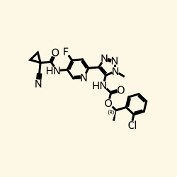 C[C@@H](OC(=O)Nc1c(-c2cc(F)c(NC(=O)C3(C#N)CC3)cn2)nnn1C)c1ccccc1Cl